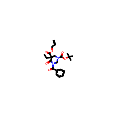 C=CCOC(=O)C1(CC)CN(C(=O)OC(C)(C)C)CN(C(=O)c2ccccc2)C1=O